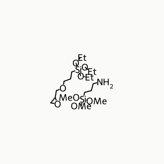 CCO[Si](CCCOCC1CO1)(OCC)OCC.CO[Si](CCCN)(OC)OC